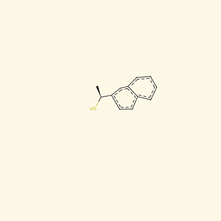 C[C@H](S)c1ccc2ccccc2c1